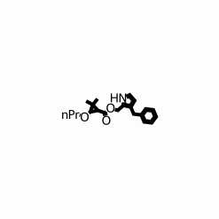 CCCOC1C(C(=O)OCc2[nH]ccc2Cc2ccccc2)C1(C)C